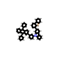 c1ccc(-c2c3ccccc3c(-c3ccccc3)c3cc(-c4cccc(-n5c6ccccc6c6ccc(-c7cccc8c7sc7ccccc78)cc65)c4)ccc23)cc1